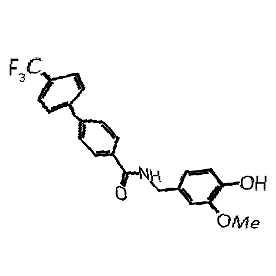 COc1cc(CNC(=O)c2ccc(-c3ccc(C(F)(F)F)cc3)cc2)ccc1O